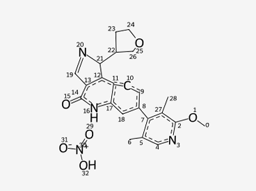 COc1ncc(C)c(-c2ccc3c4c(c(=O)[nH]c3c2)C=NC4C2CCOC2)c1C.O=[N+]([O-])O